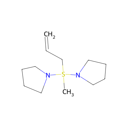 C=CCS(C)(N1CCCC1)N1CCCC1